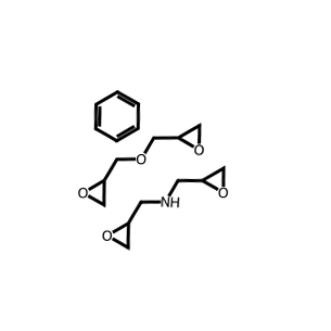 C(NCC1CO1)C1CO1.C(OCC1CO1)C1CO1.c1ccccc1